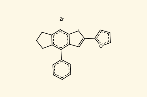 [CH]1C(c2ccco2)=Cc2c1cc1c(c2-c2ccccc2)CCC1.[Zr]